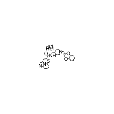 Cl.Cl.O=C(NCC1CCN(C[C@H]2COc3ccccc3O2)CC1)C1=Cc2cnc3cccc(n23)S1